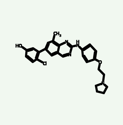 Cc1cc(-c2cc(O)ccc2Cl)cc2cnc(Nc3ccc(OCCN4CCCC4)cc3)nc12